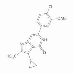 COc1cc(-c2cn3nc(C(=O)O)c(C4CC4)c3c(=O)[nH]2)ccc1Cl